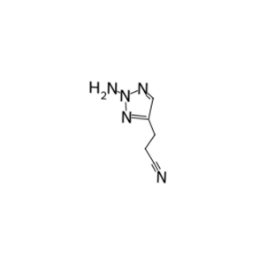 N#CCCc1cnn(N)n1